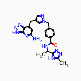 Cc1nnc(C(C)NC(=O)c2ccc(Cn3cc(Cc4cc(N)nc5[nH]nnc45)cn3)cc2)[nH]1